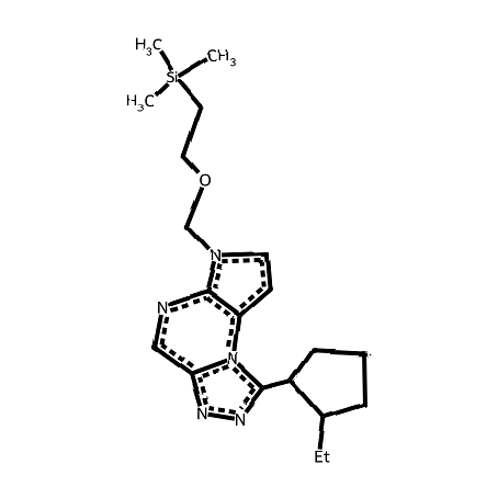 CCC1C[CH]CC1c1nnc2cnc3c(ccn3COCC[Si](C)(C)C)n12